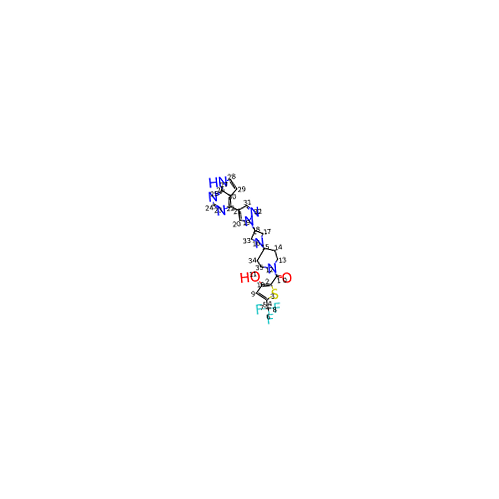 O=C(c1sc(C(F)(F)F)cc1O)N1CCC(N2C[C](n3cc(-c4ncnc5[nH]ccc45)cn3)C2)CC1